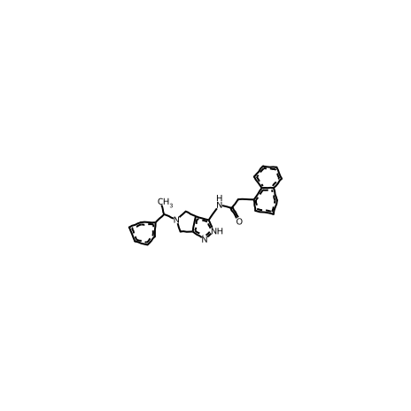 CC(c1ccccc1)N1Cc2n[nH]c(NC(=O)Cc3cccc4ccccc34)c2C1